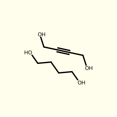 OCC#CCO.OCCCCO